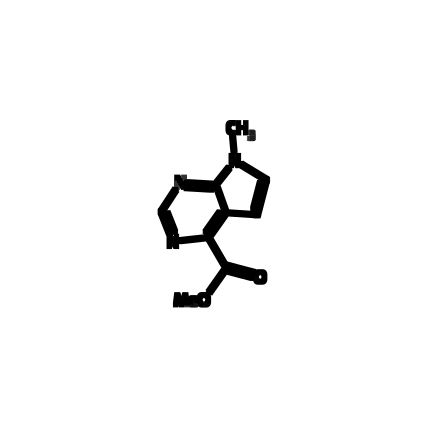 COC(=O)c1ncnc2c1ccn2C